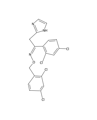 Clc1ccc(CON=C(Cc2ncc[nH]2)c2ccc(Cl)cc2Cl)c(Cl)c1